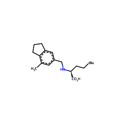 Cc1cc(CN[C@@H](CCC(C)(C)C)C(=O)O)cc2c1CCC2